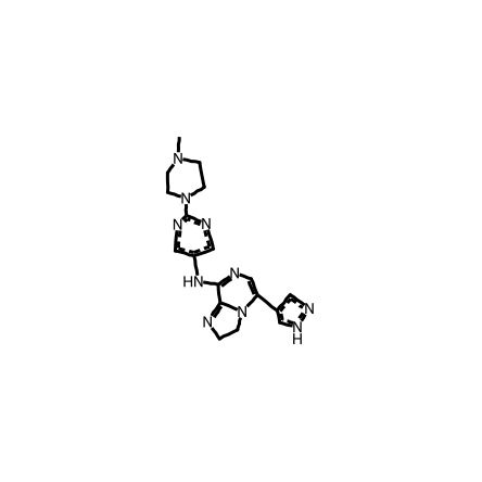 CN1CCN(c2ncc(NC3=NC=C(c4cn[nH]c4)N4CCN=C34)cn2)CC1